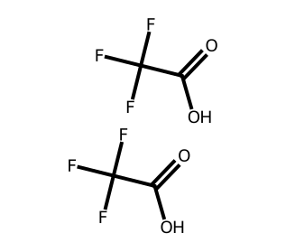 O=C(O)C(F)(F)F.O=C(O)C(F)(F)F